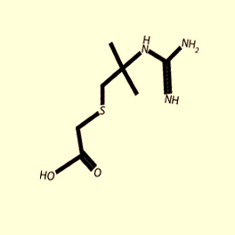 CC(C)(CSCC(=O)O)NC(=N)N